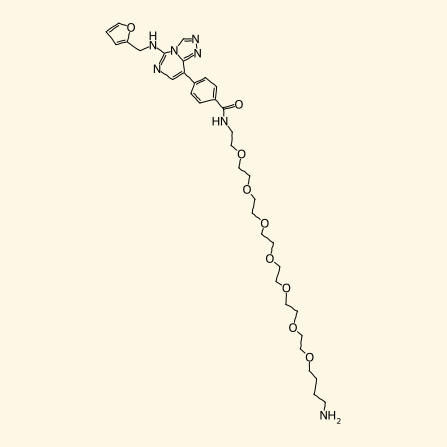 NCCCCOCCOCCOCCOCCOCCOCCOCCNC(=O)c1ccc(-c2cnc(NCc3ccco3)n3cnnc23)cc1